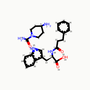 NC(=O)N1CCC(N)CC1.O=C(CCc1ccccc1)N[C@H](Cc1c[nH]c2ccccc12)C(=O)O